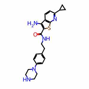 Nc1c(C(=O)NCCc2ccc(N3CCNCC3)cc2)sc2nc(C3CC3)ccc12